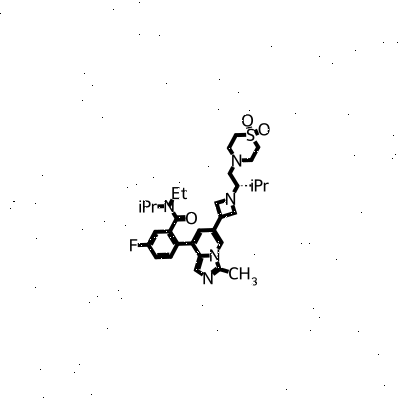 CCN(C(=O)c1cc(F)ccc1-c1cc(C2CN([C@H](CN3CCS(=O)(=O)CC3)C(C)C)C2)cn2c(C)ncc12)C(C)C